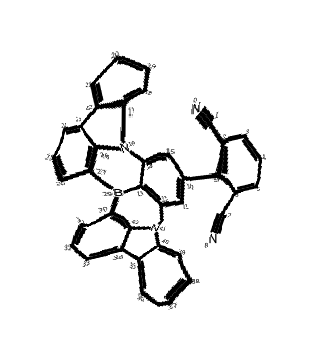 N#Cc1cccc(C#N)c1-c1cc2c3c(c1)-n1c4ccccc4c4cccc(c41)B3c1cccc3c4ccccc4n-2c13